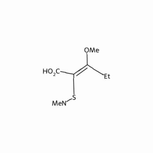 CC/C(OC)=C(\SNC)C(=O)O